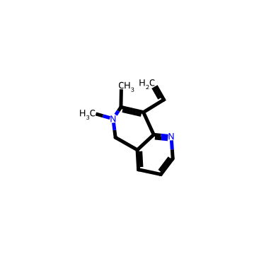 C=CC1=C(C)N(C)Cc2cccnc21